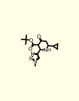 Cn1cc(C2NC(C3CC3)CC(=O)C2C(=O)OC(C)(C)C)nn1